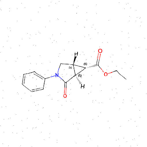 CCOC(=O)[C@H]1[C@H]2CN(c3ccccc3)C(=O)[C@@H]21